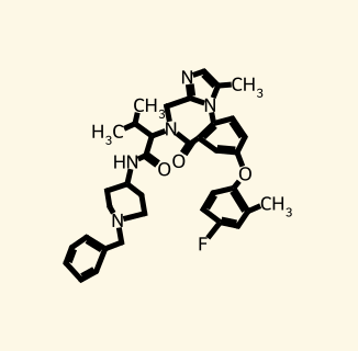 Cc1cc(F)ccc1Oc1ccc2c(c1)C(=O)N(C(C(=O)NC1CCN(Cc3ccccc3)CC1)C(C)C)Cc1ncc(C)n1-2